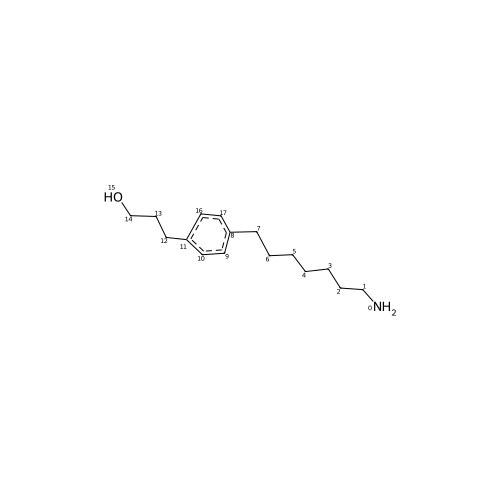 NCCCCCCCc1ccc(CCCO)cc1